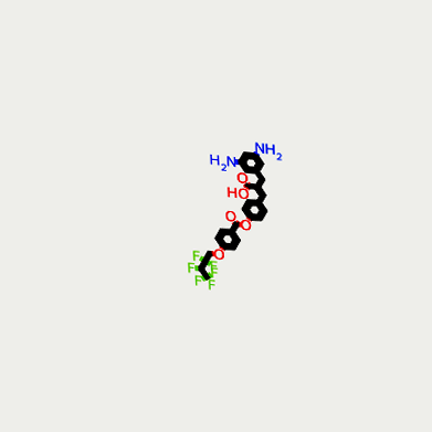 Nc1cc(N)cc(CC(=Cc2ccc(OC(=O)c3ccc(OCC(F)(F)C(F)C(F)(F)F)cc3)cc2)C(=O)O)c1